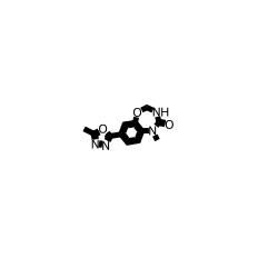 Cc1nnc(-c2ccc3c(c2)OCNC(=O)N3C)o1